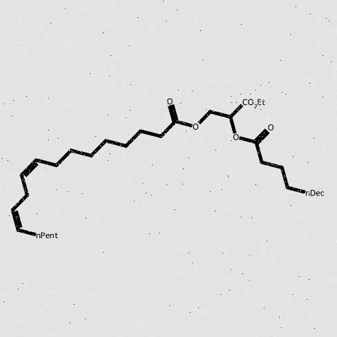 CCCCC/C=C\C/C=C\CCCCCCCC(=O)OCC(OC(=O)CCCCCCCCCCCCC)C(=O)OCC